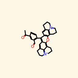 CC(=O)c1ccc(C2=c3cc4c5c(c3Oc3c2cc2c6c3CCCN6CCC2)CCC[N+]=5CCC4)c(C=O)c1